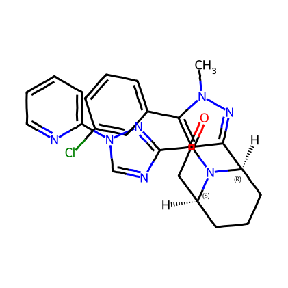 Cn1nc2c(c1-c1cccc(Cl)c1)C[C@@H]1CCC[C@H]2N1C(=O)c1ncn(-c2ccccn2)n1